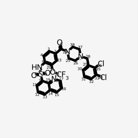 O=C(c1ccc(NS(=O)(=O)c2cccc3cccnc23)c(OC(F)(F)F)c1)N1CCN(Cc2cccc(Cl)c2Cl)CC1